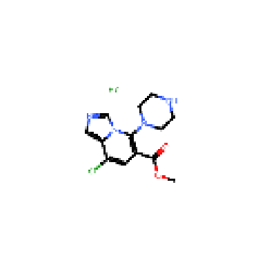 COC(=O)c1cc(Cl)c2cncn2c1N1CCNCC1.Cl